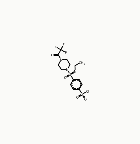 CCN=S(=O)(c1ccc(S(=O)(=O)Cl)cc1)N1CCN(C(=O)C(F)(F)F)CC1